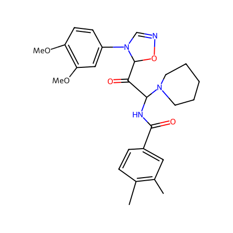 COc1ccc(N2C=NOC2C(=O)C(NC(=O)c2ccc(C)c(C)c2)N2CCCCC2)cc1OC